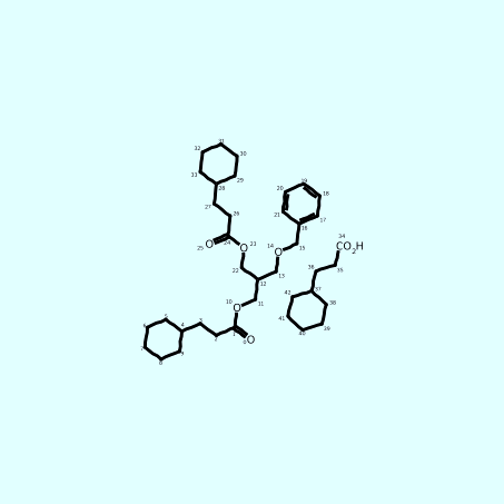 O=C(CCC1CCCCC1)OCC(COCc1ccccc1)COC(=O)CCC1CCCCC1.O=C(O)CCC1CCCCC1